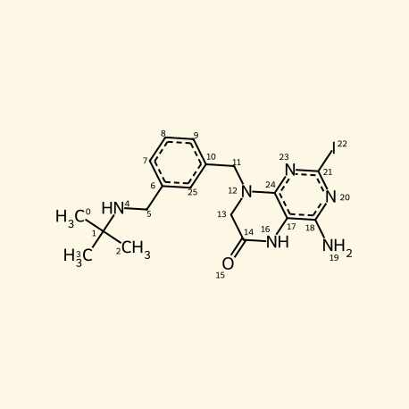 CC(C)(C)NCc1cccc(CN2CC(=O)Nc3c(N)nc(I)nc32)c1